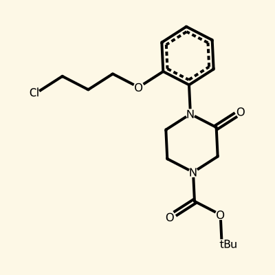 CC(C)(C)OC(=O)N1CCN(c2ccccc2OCCCCl)C(=O)C1